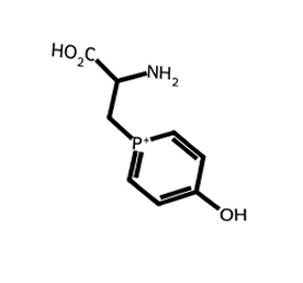 NC(C[p+]1ccc(O)cc1)C(=O)O